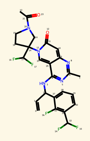 C=CC(Nc1nc(C)nc2cc(=O)n(C3(C(F)F)CCN(C(C)=O)C3)cc12)c1cccc(C(F)F)c1F